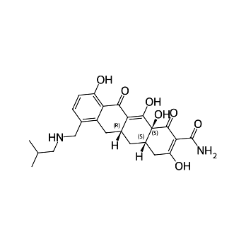 CC(C)CNCc1ccc(O)c2c1C[C@H]1C[C@H]3CC(O)=C(C(N)=O)C(=O)[C@@]3(O)C(O)=C1C2=O